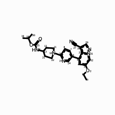 CCOc1cc(-c2ccc(N3CCC(NC(=O)OC(C)C)CC3)nc2)c2c(C#N)cnn2c1